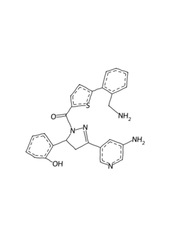 NCc1ccccc1-c1ccc(C(=O)N2N=C(c3cncc(N)c3)CC2c2ccccc2O)s1